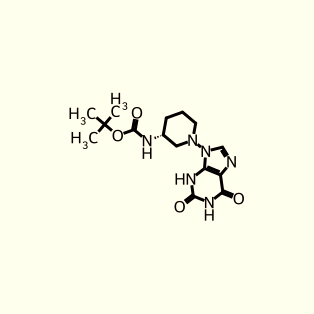 CC(C)(C)OC(=O)N[C@@H]1CCCN(n2cnc3c(=O)[nH]c(=O)[nH]c32)C1